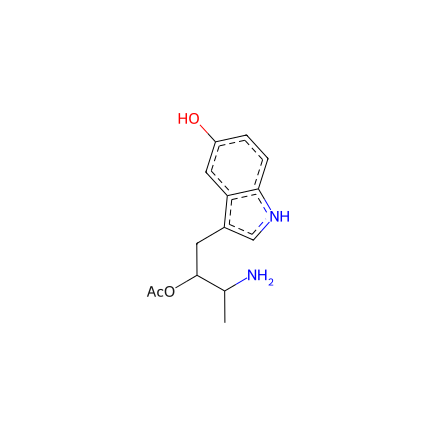 CC(=O)OC(Cc1c[nH]c2ccc(O)cc12)C(C)N